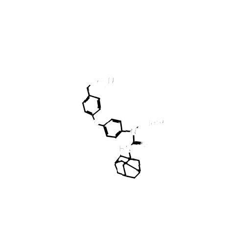 CCCCCCCN(C(=O)NC12CC3CC(CC(C3)C1)C2)c1ccc(Sc2ccc(CC(=O)O)cc2)cc1